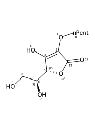 CCCCCOC1=C(O)[C@@H]([C@@H](O)CO)OC1=O